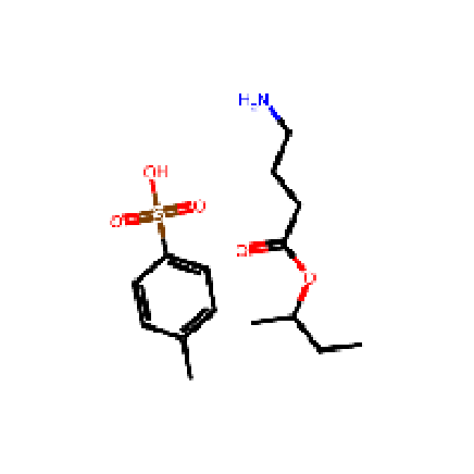 CCC(C)OC(=O)CCCN.Cc1ccc(S(=O)(=O)O)cc1